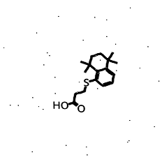 CC1(C)CCC(C)(C)c2c(SCCC(=O)O)cccc21